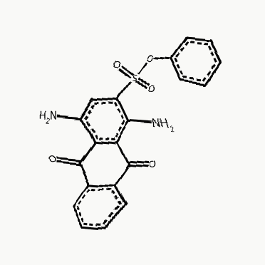 Nc1cc(S(=O)(=O)Oc2ccccc2)c(N)c2c1C(=O)c1ccccc1C2=O